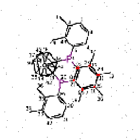 Cc1cccc(P(c2cccc(C)c2C)[C]23[CH]4[CH]5[CH]6[C]2(P(c2cccc(C)c2C)c2cccc(C)c2C)[Co]54632789[CH]3[CH]2[CH]7[CH]8[CH]39)c1C